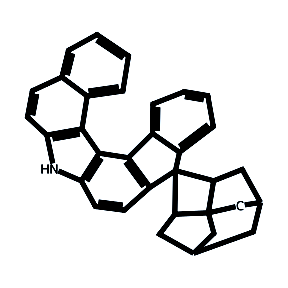 c1ccc2c(c1)-c1c(ccc3[nH]c4ccc5ccccc5c4c13)C21C2CC3CC4CC1C2(C3)C4